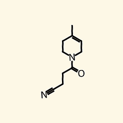 CC1=CCN(C(=O)CCC#N)CC1